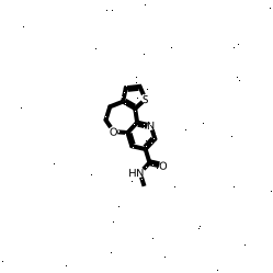 CNC(=O)c1cnc2c(c1)OCCc1ccsc1-2